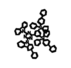 c1ccc(-c2ccc([Si](c3ccccc3)(c3ccccc3)c3cc(-c4nc(-n5c6ccccc6c6ccccc65)nc(-n5c6ccccc6c6cc(-c7ccccc7)ccc65)n4)cc([Si](c4ccccc4)(c4ccccc4)c4ccc(-c5ccccc5)cc4)c3)cc2)cc1